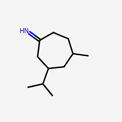 CC1CCC(=N)CC(C(C)C)C1